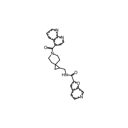 O=C(NCC1CC12CCN(C(=O)c1ccnc3ncccc13)CC2)c1cc2ccncc2o1